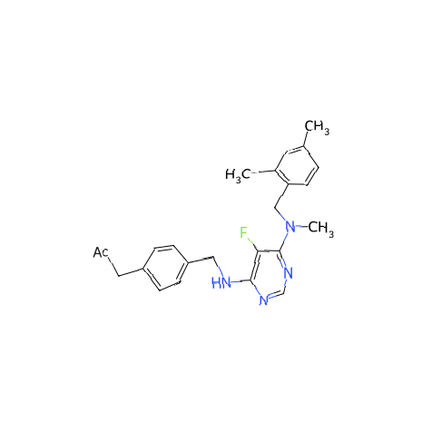 CC(=O)Cc1ccc(CNc2ncnc(N(C)Cc3ccc(C)cc3C)c2F)cc1